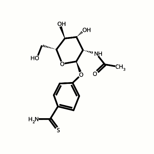 CC(=O)N[C@@H]1[C@@H](Oc2ccc(C(N)=S)cc2)O[C@H](CO)[C@@H](O)[C@@H]1O